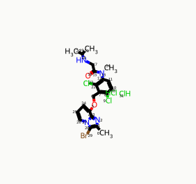 Cc1nc2c(OCc3c(Cl)ccc(N(C)C(=O)CNC(C)C)c3Cl)cccn2c1Br.Cl.Cl